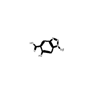 O=C(O)c1cc2nn[n]([Ag])c2cc1O